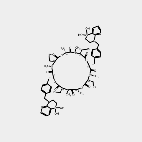 CC(C)C[C@H]1C(=O)O[C@H](Cc2ccc(CN3CCS(O)(O)c4cccnc43)cc2)C(=O)N(C)[C@@H](CC(C)C)C(=O)O[C@H](C)C(=O)N(C)[C@@H](CC(C)C)C(=O)O[C@H](Cc2ccc(CN3CCS(O)(O)c4cccnc43)cc2)C(=O)N(C)[C@@H](CC(C)C)C(=O)O[C@H](C)C(=O)N1C